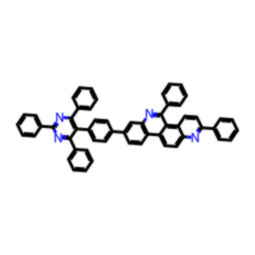 c1ccc(-c2ccc3c(ccc4c5ccc(-c6ccc(-c7c(-c8ccccc8)nc(-c8ccccc8)nc7-c7ccccc7)cc6)cc5nc(-c5ccccc5)c34)n2)cc1